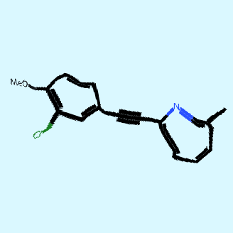 COc1ccc(C#Cc2cccc(C)n2)cc1Cl